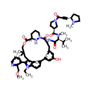 CCn1c(-c2cccnc2COC)c2c3cc(ccc31)-c1cc(O)cc(c1)C[C@H](NC(=O)[C@H](C(C)C)N(C)C(=O)[C@H]1CCN(C(=O)C#C[C@@H]3CCCN3C)C1)C(=O)N1CCC[C@H](N1)C(=O)OCC(C)(C)C2